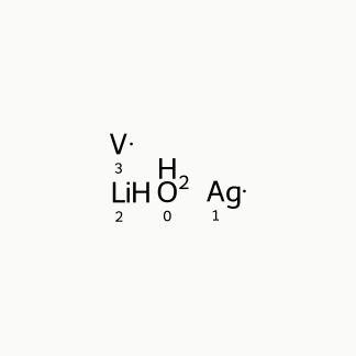 O.[Ag].[LiH].[V]